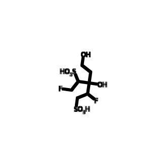 O=S(=O)(O)CC(F)C(O)(CCO)C(CF)S(=O)(=O)O